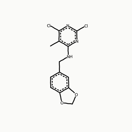 Cc1c(Cl)nc(Cl)nc1NCc1ccc2c(c1)OCO2